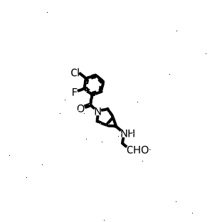 O=[C]CNC1C2CN(C(=O)c3cccc(Cl)c3F)CC21